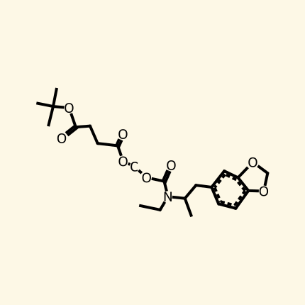 CCN(C(=O)OCOC(=O)CCC(=O)OC(C)(C)C)C(C)Cc1ccc2c(c1)OCO2